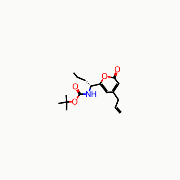 C=CCc1cc([C@@H](CCC)NC(=O)OC(C)(C)C)oc(=O)c1